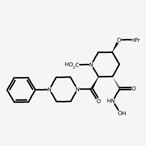 CCCO[C@H]1C[C@H](C(=O)NO)[C@@H](C(=O)N2CCN(c3ccccc3)CC2)N(C(=O)O)C1